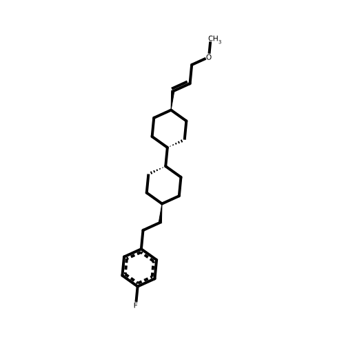 COCC=C[C@H]1CC[C@H]([C@H]2CC[C@H](CCc3ccc(F)cc3)CC2)CC1